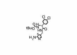 CC(C)(C)OC(=O)NC[C@H](C(=O)NCc1cnc(N)s1)c1ccc(Cl)c(Cl)c1